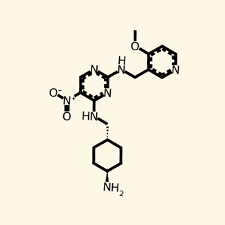 COc1ccncc1CNc1ncc([N+](=O)[O-])c(NC[C@H]2CC[C@H](N)CC2)n1